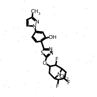 Cc1ccn(-c2ccc(-c3nnc(OC4CC5C(F)C(F)CC(C4F)N5C)s3)c(O)c2)n1